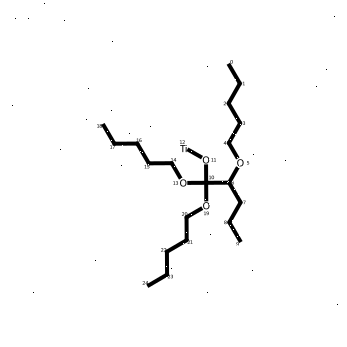 CCCCCOC(CCC)C([O][Ti])(OCCCCC)OCCCCC